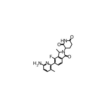 Cc1ccc(N)nc1-c1ccc2c(c1F)C(C)N(C1CCC(=O)NC1=O)C2=O